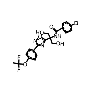 CC(F)(F)Oc1ccc(-c2noc(C(CO)(CO)NC(=O)c3ccc(Cl)cc3)n2)cc1